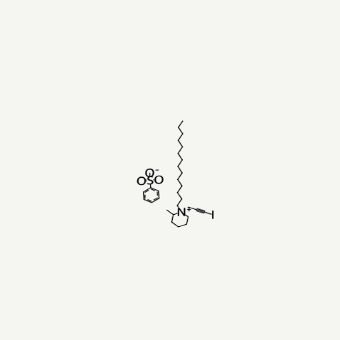 CCCCCCCCCCCCCC[N+]1(CC#CI)CCCCC1C.O=S(=O)([O-])c1ccccc1